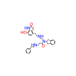 O=C(CCNCCc1ccccc1)N(CCNCCc1ccc(O)c2[nH]c(=O)sc12)C1Cc2ccccc2C1